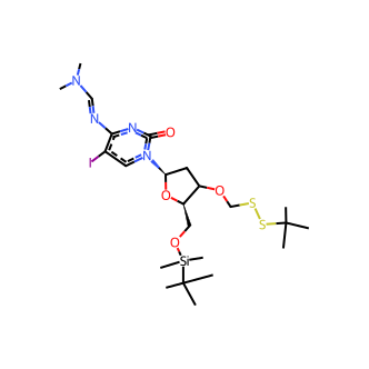 CN(C)/C=N/c1nc(=O)n([C@H]2CC(OCSSC(C)(C)C)[C@@H](CO[Si](C)(C)C(C)(C)C)O2)cc1I